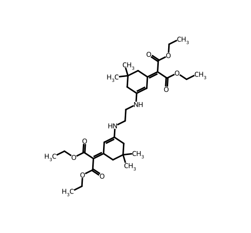 CCOC(=O)C(C(=O)OCC)=C1C=C(NCCNC2=CC(=C(C(=O)OCC)C(=O)OCC)CC(C)(C)C2)CC(C)(C)C1